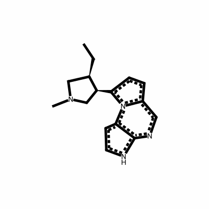 CC[C@@H]1CN(C)C[C@@H]1c1ccc2cnc3[nH]ccc3n12